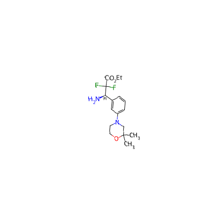 CCOC(=O)C(F)(F)[C@H](N)c1cccc(N2CCOC(C)(C)C2)c1